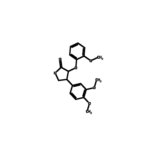 COc1ccc(C2COC(=O)C2Oc2ccccc2OC)cc1OC